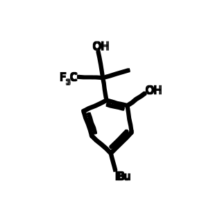 CCC(C)c1ccc(C(C)(O)C(F)(F)F)c(O)c1